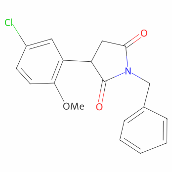 COc1ccc(Cl)cc1C1CC(=O)N(Cc2ccccc2)C1=O